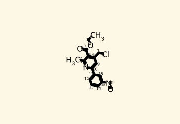 CCOC(=O)c1c(CCl)cc(-c2cccc(N=O)c2)nc1C